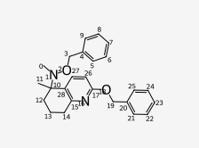 CN(OCc1ccccc1)C1(C)CCCc2nc(OCc3ccccc3)ccc21